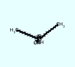 CCCCCCCCCCCCCCCCC(=O)OC(C(=O)CCCCCCCCCCCCCCCC)C(O)CO